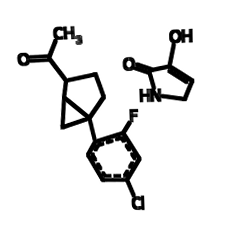 CC(=O)C1CCC2(c3ccc(Cl)cc3F)CC12.O=C1NCC=C1O